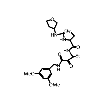 CCC(NC(=O)C(CC(C)C)NC(=O)NC1CCOC1)C(=O)C(=O)NCc1cc(OC)cc(OC)c1